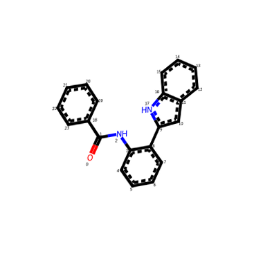 O=C(Nc1ccccc1-c1cc2ccccc2[nH]1)c1ccccc1